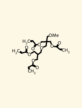 C=CC(=O)OCC(COCC(COC)(COC(=O)C=C)COC(=O)C=C)COC(=O)C=C